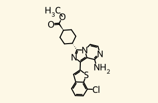 COC(=O)[C@H]1CC[C@H](c2nc(-c3cc4cccc(Cl)c4s3)c3c(N)nccn32)CC1